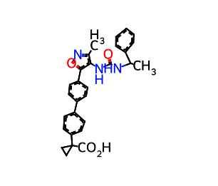 Cc1noc(-c2ccc(-c3ccc(C4(C(=O)O)CC4)cc3)cc2)c1NC(=O)NC(C)c1ccccc1